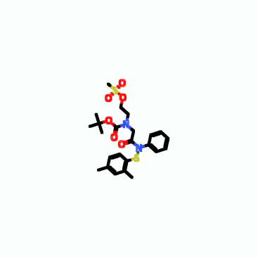 Cc1ccc(SN(C(=O)CN(CCOS(C)(=O)=O)C(=O)OC(C)(C)C)c2ccccc2)c(C)c1